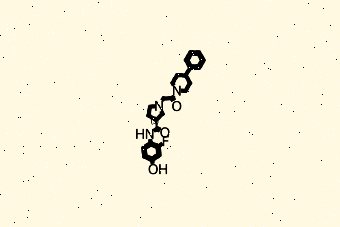 O=C(Nc1ccc(O)cc1F)[C@H]1CCN(CC(=O)N2CCC(c3ccccc3)CC2)C1